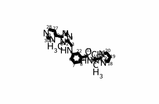 Cn1c(CNc2cccc(C(=O)NC(C)(C)c3ncccn3)c2)nnc1-c1ccncn1